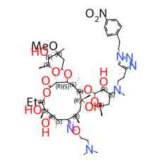 CC[C@H]1OC(=O)[C@H](C)[C@@H](OC2C[C@@](C)(OC)[C@@H](O)[C@H](C)O2)[C@H](C)[C@@H](OC2O[C@H](C)C[C@H](N(C)CCc3cn(CCc4ccc([N+](=O)[O-])cc4)nn3)[C@H]2O)[C@](C)(O)C[C@@H](C)/C(=N\OCCN(C)C)[C@H](C)[C@@H](O)[C@]1(C)O